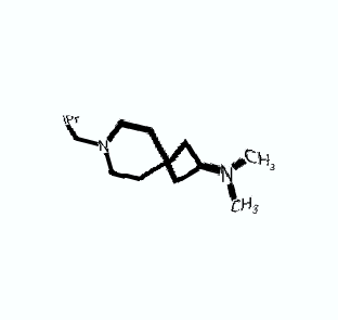 CC(C)CN1CCC2(CC1)CC(N(C)C)C2